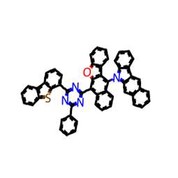 c1ccc(-c2nc(-c3c4ccccc4c(-n4c5ccccc5c5cc6ccccc6cc54)c4c3oc3ccccc34)nc(-c3cccc4c3sc3ccccc34)n2)cc1